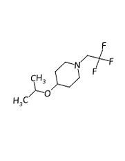 CC(C)OC1CCN(CC(F)(F)F)CC1